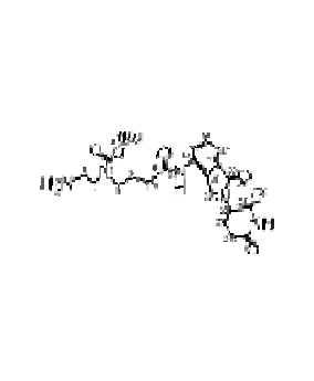 CC(C)(C)OC(=O)N(CCN)CCCC(=O)Nc1cccc2c1CN(C1CCC(=O)NC1=O)C2=O